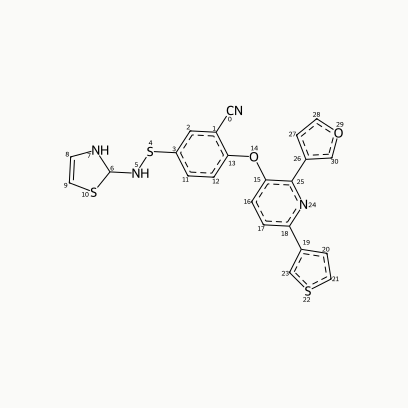 N#Cc1cc(SNC2NC=CS2)ccc1Oc1ccc(-c2ccsc2)nc1-c1ccoc1